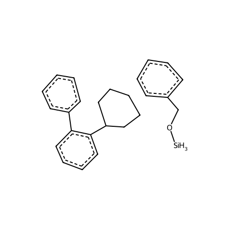 [SiH3]OCc1ccccc1.c1ccc(-c2ccccc2C2CCCCC2)cc1